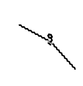 CCCCCCCCCCCCCCCCCCn1cc[n+](CCCCCCCCCCCCCCCCCC)c1Cc1ccccc1